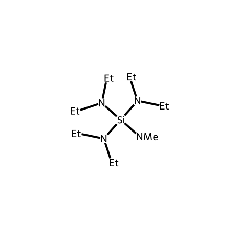 CCN(CC)[Si](NC)(N(CC)CC)N(CC)CC